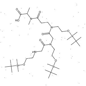 CC(C(=O)O)N(C)C(=O)CCN(CCO[Si](C)(C)C(C)(C)C)C(=O)CN(CCO[Si](C)(C)C(C)(C)C)C(=O)CNCCO[Si](C)(C)C(C)(C)C